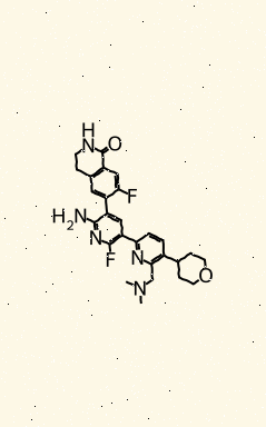 CN(C)Cc1nc(-c2cc(-c3cc4c(cc3F)C(=O)NCC4)c(N)nc2F)ccc1C1CCOCC1